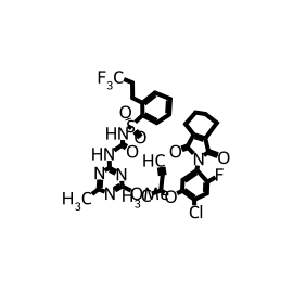 C#CC(C)Oc1cc(N2C(=O)C3=C(CCCC3)C2=O)c(F)cc1Cl.COc1nc(C)nc(NC(=O)NS(=O)(=O)c2ccccc2CCC(F)(F)F)n1